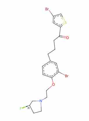 O=C(CCCc1ccc(OCCN2CC[C@@H](F)C2)c(Br)c1)c1cc(Br)cs1